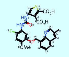 COc1cc(F)c(NC(=O)Nc2csc(C(=O)O)c2C(=O)O)cc1OCc1cccc2cc(C)cnc12